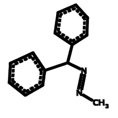 C/N=N/C(c1ccccc1)c1ccccc1